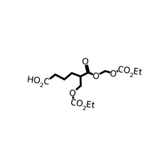 CCOC(=O)OCOC(=O)C(CCCC(=O)O)COC(=O)OCC